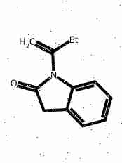 C=C(CC)N1C(=O)Cc2ccccc21